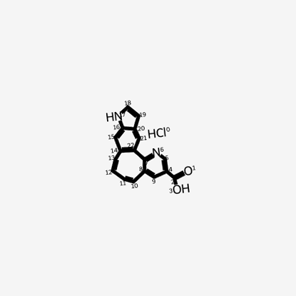 Cl.O=C(O)c1cnc2c(c1)C=CC=Cc1cc3[nH]ccc3cc1-2